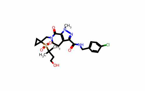 Cn1nc(C(=O)NCc2ccc(Cl)cc2)c2c1C(=O)N(CC1(S(=O)(=O)C(C)(C)CCO)CC1)CC2